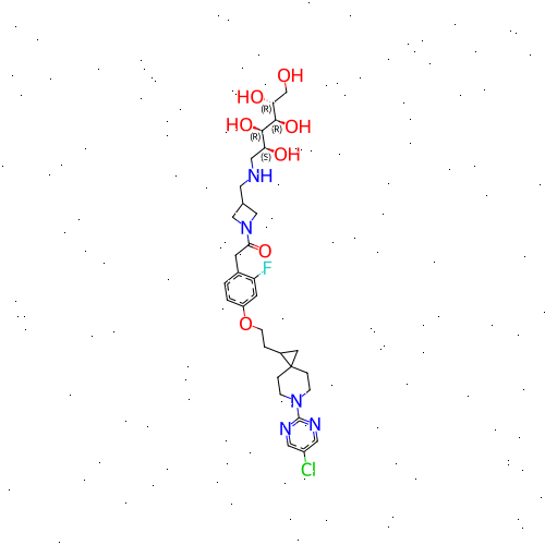 O=C(Cc1ccc(OCCC2CC23CCN(c2ncc(Cl)cn2)CC3)cc1F)N1CC(CNC[C@H](O)[C@@H](O)[C@H](O)[C@H](O)CO)C1